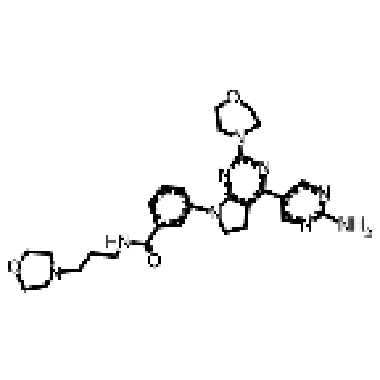 Nc1ncc(-c2nc(N3CCOCC3)nc3c2CCN3c2cccc(C(=O)NCCCN3CCOCC3)c2)cn1